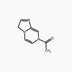 CC(=O)N1C=CN2CC=NC2=C1